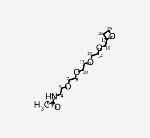 CC(=O)NCCOCCOCCOCCOCC1CCO1